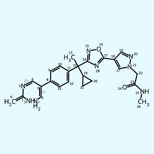 C=C(N)/N=C\C(=C/N)c1ccc(C(C)(c2noc(-c3cnn(CC(=O)NC)c3)n2)C2CC2)cc1